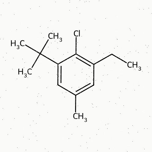 CCc1cc(C)cc(C(C)(C)C)c1Cl